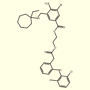 CCC1(NCc2cc(C(=O)OCCOC(=O)Cc3ccccc3Nc3c(Cl)cccc3Cl)cc(Br)c2N)CCCCCC1